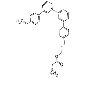 C=CC(=O)OCCCc1ccc(-c2cccc(-c3cccc(-c4ccc(C=C)cc4)c3)c2)cc1